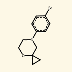 Brc1ccc(N2CCOC3(CC3)C2)cc1